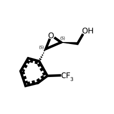 OC[C@@H]1O[C@H]1c1ccccc1C(F)(F)F